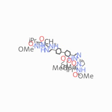 COCCOc1c(-c2ccc(-c3cnc([C@H](C)NC(=O)[C@@H](NC(=O)OC)C(C)C)[nH]3)cc2)ccc(-c2cnc([C@@H]3CCCN3C(=O)[C@@H](NC(=O)OC)C(C)C)[nH]2)c1OCCOC